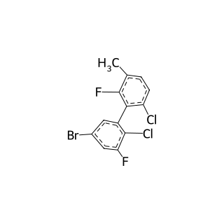 Cc1ccc(Cl)c(-c2cc(Br)cc(F)c2Cl)c1F